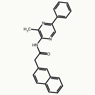 Cc1nc(-c2ccccc2)cnc1NC(=O)Cc1ccc2ccccc2c1